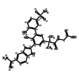 CC(C)(C(=O)NCC(=O)O)c1cc(-c2nc3cc(C(=N)N)ccc3[nH]2)c(O)c(-c2cc(S(N)(=O)=O)ccc2O)c1